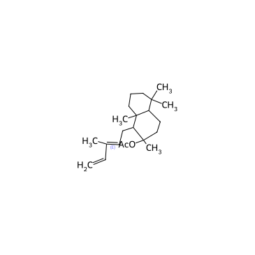 C=C/C(C)=C/CC1C(C)(OC(C)=O)CCC2C(C)(C)CCCC21C